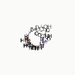 C/C1=C/C=C/[C@H](C)[C@H](O)[C@@H](C)[C@@H](O)[C@@H](C)[C@H](O)[C@H](C)[C@@H](C)/C=C/O[C@@]2(C)Oc3c(C)c(O)c4c(c3C2=O)C(=O)C(/C=N/N2CCN(C)CC2)=C(NC1=O)C4=O